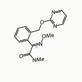 CNC(=O)/C(=N/OC)c1ccccc1COc1ncccn1